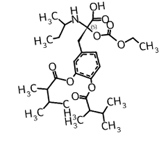 CCOC(=O)O[C@](Cc1ccc(OC(=O)C(C)C(C)C)c(OC(=O)C(C)C(C)C)c1)(NC(C)CC)C(=O)O